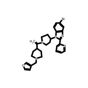 C=C(C1CCN(Cc2ccoc2)CC1)N1CCC(n2c(-c3ccccn3)nc3cc(Br)ccc32)CC1